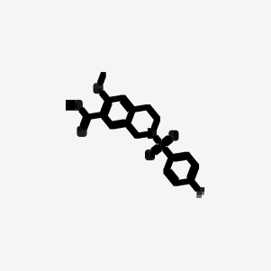 COc1cc2c(cc1C(=O)O)CN(S(=O)(=O)c1ccc(F)cc1)CC2